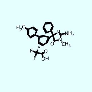 Cc1ccc(-c2cccc(C3(c4ccccc4)N=C(N)N(C)C3=O)c2)cc1.O=C(O)C(F)(F)F